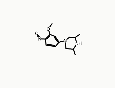 COc1cc(N2CC(C)NC(C)C2)ccc1N=O